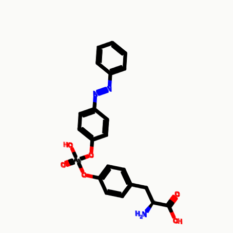 N[C@@H](Cc1ccc(O[As](=O)(O)Oc2ccc(N=Nc3ccccc3)cc2)cc1)C(=O)O